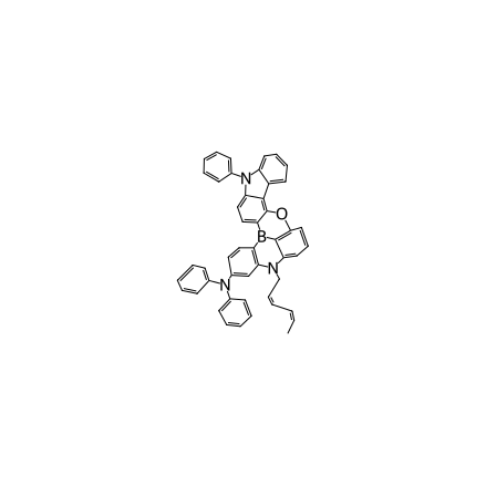 C/C=C\C=C/CN1c2cc(N(c3ccccc3)c3ccccc3)ccc2B2c3ccc4c(c3Oc3cccc1c32)c1ccccc1n4-c1ccccc1